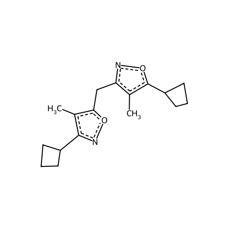 Cc1c(C2CCC2)noc1Cc1noc(C2CCC2)c1C